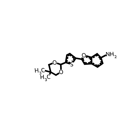 CC1(C)COC(c2ccc(-c3cc4ccc(N)cc4o3)s2)OC1